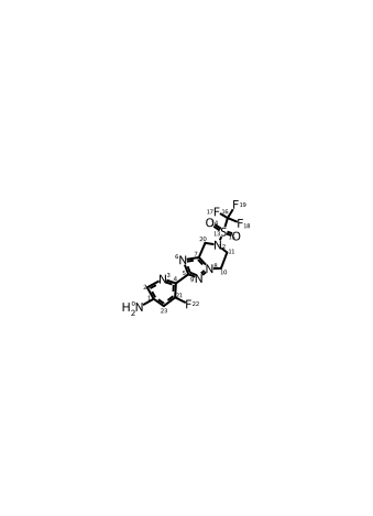 Nc1cnc(-c2nc3n(n2)CCN(S(=O)(=O)C(F)(F)F)C3)c(F)c1